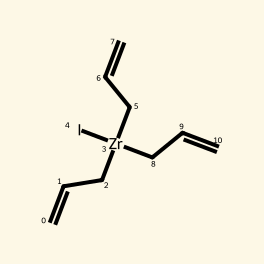 C=C[CH2][Zr]([I])([CH2]C=C)[CH2]C=C